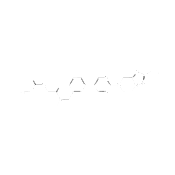 CN(Cc1cccc(-c2cnc(N3CCn4nc(C(F)(F)F)nc4C3)nc2)c1)C(=O)CNC(=O)OC(C)(C)C